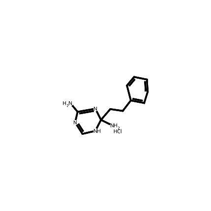 Cl.NC1=NC(N)(CCc2ccccc2)NC=N1